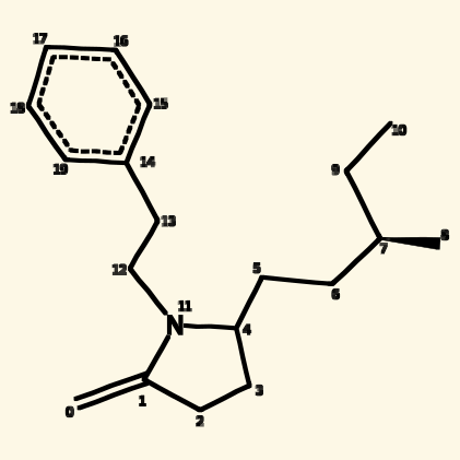 C=C1CCC(CC[C@H](C)CC)N1CCc1ccccc1